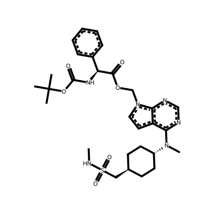 CNS(=O)(=O)C[C@H]1CC[C@H](N(C)c2ncnc3c2ccn3COC(=O)[C@@H](NC(=O)OC(C)(C)C)c2ccccc2)CC1